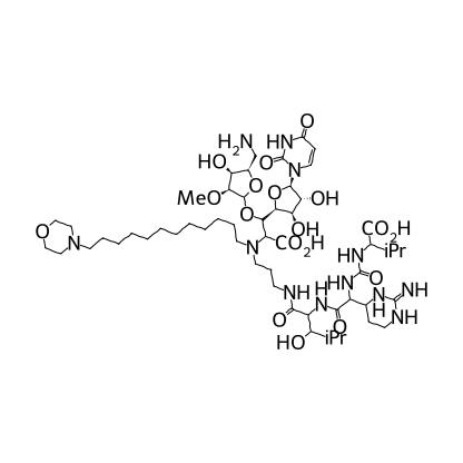 CO[C@@H]1C(OC(C(C(=O)O)N(CCCCCCCCCCCCN2CCOCC2)CCCNC(=O)C(NC(=O)C(NC(=O)NC(C(=O)O)C(C)C)C2CCNC(=N)N2)C(O)C(C)C)[C@H]2O[C@@H](n3ccc(=O)[nH]c3=O)[C@H](O)[C@H]2O)O[C@H](CN)[C@@H]1O